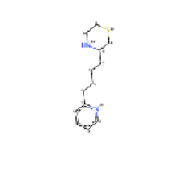 c1ccc(CCCCC2CSCCN2)nc1